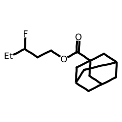 CCC(F)CCOC(=O)C12CC3CC(CC(C3)C1)C2